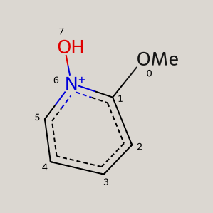 COc1cccc[n+]1O